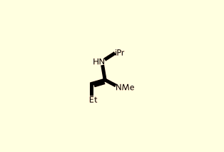 CC/C=C(\NC)NC(C)C